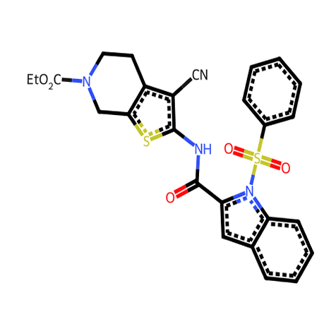 CCOC(=O)N1CCc2c(sc(NC(=O)c3cc4ccccc4n3S(=O)(=O)c3ccccc3)c2C#N)C1